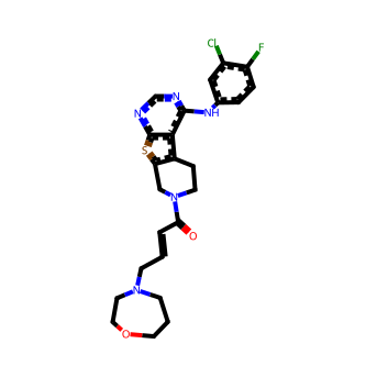 O=C(C=CCN1CCCOCC1)N1CCc2c(sc3ncnc(Nc4ccc(F)c(Cl)c4)c23)C1